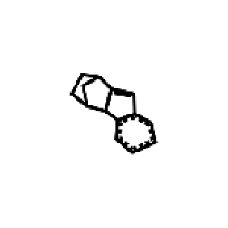 C1=C2C3CCC(C3)C2c2ccccc21